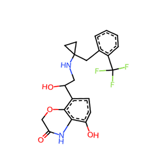 O=C1COc2c(C(O)CNC3(Cc4ccccc4C(F)(F)F)CC3)ccc(O)c2N1